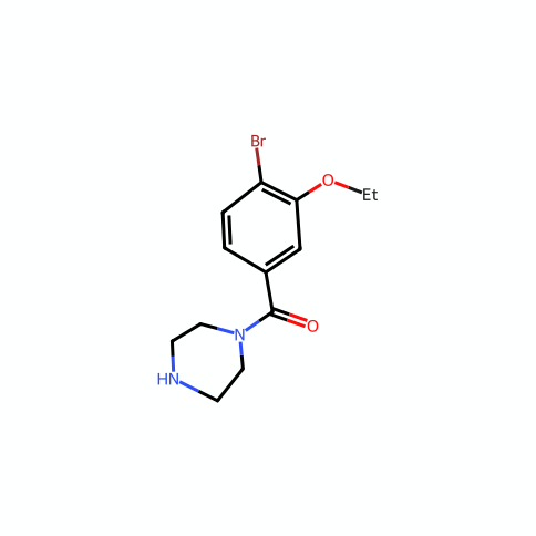 CCOc1cc(C(=O)N2CCNCC2)ccc1Br